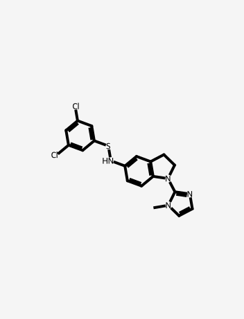 Cn1ccnc1N1CCc2cc(NSc3cc(Cl)cc(Cl)c3)ccc21